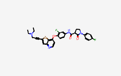 CCN(CC)CC#Cc1cc2nccc(Oc3ccc(NC(=O)C4CCN(c5ccc(F)cc5)C4=O)cc3F)c2s1